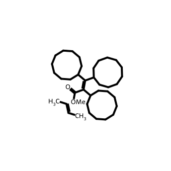 CC=CC.COC(=O)C(=C(C1CCCCCCCCC1)C1CCCCCCCCC1)C1CCCCCCCCC1